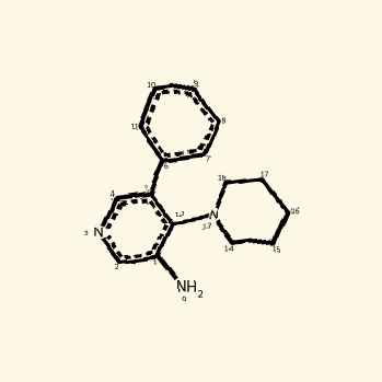 Nc1cn[c]c(-c2ccccc2)c1N1CCCCC1